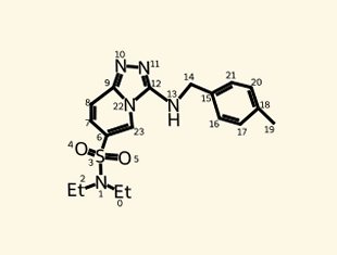 CCN(CC)S(=O)(=O)c1ccc2nnc(NCc3ccc(C)cc3)n2c1